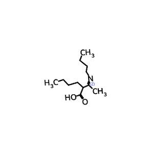 CCCC/N=C(/C)C(CCCC)C(=O)O